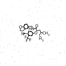 CC(C)CC(Oc1ccc(C#N)c(C(F)(F)F)c1)C(=O)NCc1ccc2c(c1)CCO2